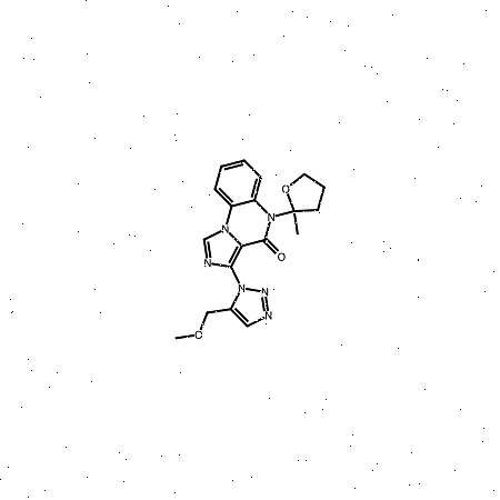 COCc1cnnn1-c1ncn2c1c(=O)n(C1(C)CCCO1)c1ccccc12